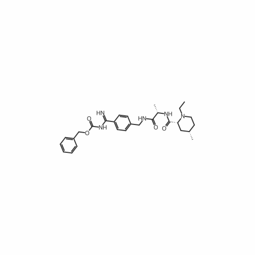 CCN1CC[C@H](C)C[C@@H]1C(=O)N[C@@H](C)C(=O)NCc1ccc(C(=N)NC(=O)OCc2ccccc2)cc1